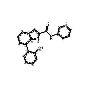 O=C(Nc1cccnc1)c1cc2cccc(-c3ccccc3O)c2o1